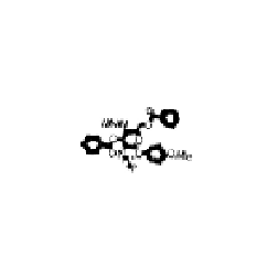 COc1ccc(O[C@H]2O[C@H](COC(=O)c3ccccc3)[C@@H](N=[N+]=[N-])[C@H](OC(=O)c3ccccc3)[C@H]2N=[N+]=[N-])cc1